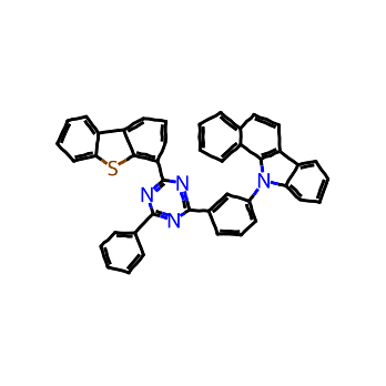 c1ccc(-c2nc(-c3cccc(-n4c5ccccc5c5ccc6ccccc6c54)c3)nc(-c3cccc4c3sc3ccccc34)n2)cc1